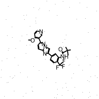 COc1ccncc1-c1ccc2nc(-c3ccc(C(F)(F)F)c(NC(=O)C(C)(C)C)c3)cn2n1